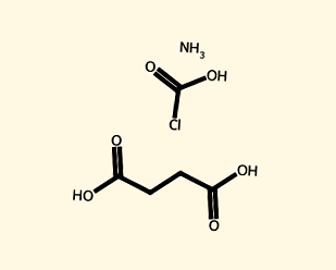 N.O=C(O)CCC(=O)O.O=C(O)Cl